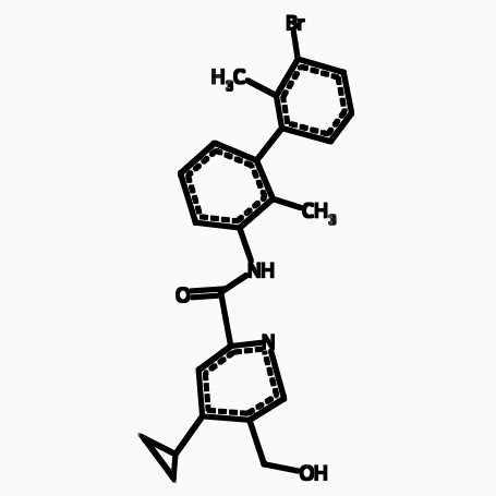 Cc1c(Br)cccc1-c1cccc(NC(=O)c2cc(C3CC3)c(CO)cn2)c1C